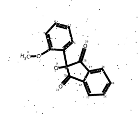 COc1ccccc1C1(Cl)C(=O)c2ccccc2C1=O